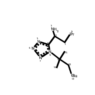 CC(C)CC(N)c1nnnn1C(C)(C)CC(C)(C)C